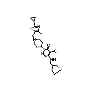 Cc1nc(C2CC2)oc1SN1CCC(n2ncc(NCC3CCCOC3)c(Cl)c2=O)CC1